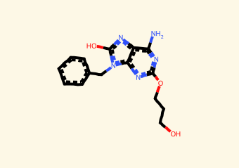 Nc1nc(OCCCO)nc2c1nc(O)n2Cc1ccccc1